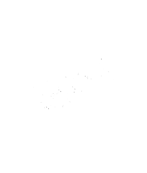 CC(C)c1c[nH]c2ccc(N3CCN(CCS(C)(=O)=O)CC3C)nc12